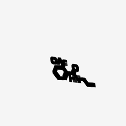 C=CCNC(=O)c1ccccc1OC(C)=O